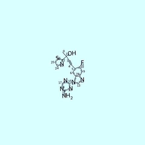 CC(O)(C#Cc1cc2c(cc1F)ncn2-c1ncnc(N)n1)c1nccs1